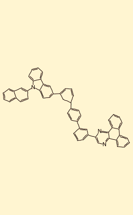 C1=CC(c2ccc(-c3cccc(-c4cnc5c6ccccc6c6ccccc6c5n4)c3)cc2)CC(c2ccc3c(c2)c2ccccc2n3-c2ccc3ccccc3c2)=C1